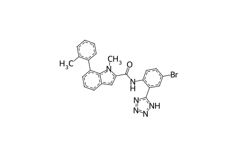 Cc1ccccc1-c1cccc2cc(C(=O)Nc3ccc(Br)cc3-c3nnn[nH]3)n(C)c12